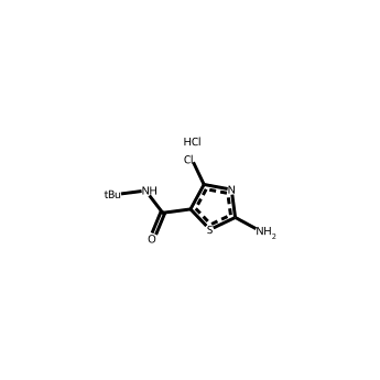 CC(C)(C)NC(=O)c1sc(N)nc1Cl.Cl